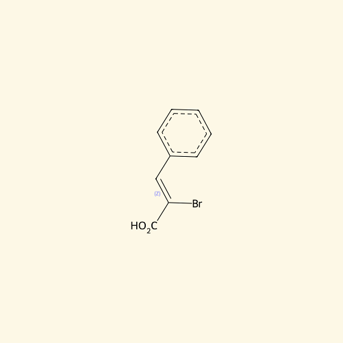 O=C(O)/C(Br)=C/c1ccccc1